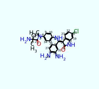 CN(C(=O)C(C)(C)N)c1ccc(N/C(=C2/C(=O)Nc3cc(Cl)ccc32)c2ccc(N)c(N)c2)cc1